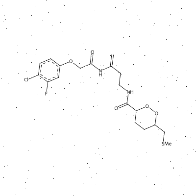 C=C(CCNC(=O)C1CCC(CSC)OO1)NC(=O)COc1ccc(Cl)c(F)c1